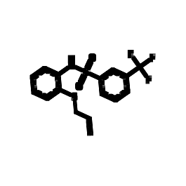 C=CCSc1ccccc1NS(=O)(=O)c1cccc(C(F)(F)F)c1